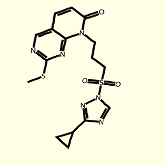 CSc1ncc2ccc(=O)n(CCCS(=O)(=O)n3cnc(C4CC4)n3)c2n1